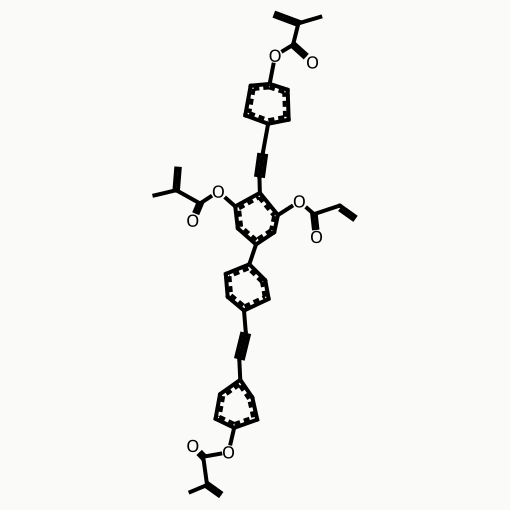 C=CC(=O)Oc1cc(-c2ccc(C#Cc3ccc(OC(=O)C(=C)C)cc3)cc2)cc(OC(=O)C(=C)C)c1C#Cc1ccc(OC(=O)C(=C)C)cc1